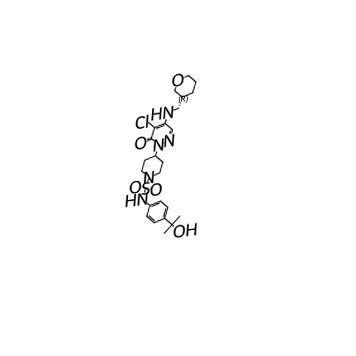 CC(C)(O)c1ccc(NS(=O)(=O)N2CCC(n3ncc(NC[C@H]4CCCOC4)c(Cl)c3=O)CC2)cc1